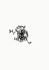 CCCCCCCCCCCCCC[C@@H](O)[C@@H](O)[C@H](COC1OC(COCCCCCCN)C(O)C(O)C1O)NC(=O)CCCCCCCCc1ccccc1